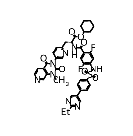 CCc1ncc(-c2ccc(S(=O)(=O)Nc3cc(F)c(C(=O)N[C@@H](Cc4ccc(-n5c(=O)c6ccncc6n(C)c5=O)cn4)C(=O)OC4CCCCC4)cc3F)cc2)cn1